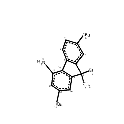 CCC1(C)c2cc(C(C)(C)C)ccc2-c2c(N)cc(C(C)(C)C)cc21